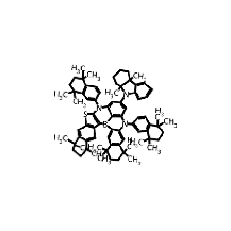 CC1(C)CCC(C)(C)c2cc(N3c4cc5c(cc4B4c6c3cc(N3c7ccccc7C7(C)CCCCC37C)cc6N(c3ccc6c(c3)C(C)(C)CCC6(C)C)c3sc6cc7c(cc6c34)C3(C)CCC7(C)CC3)C(C)(C)CCC5(C)C)ccc21